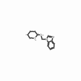 c1ccc2c(c1)ncn2COC1CCCCO1